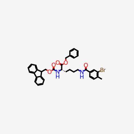 Cc1ccc(C(=O)NCCCC[C@H](NC(=O)OCC2c3ccccc3-c3ccccc32)C(=O)OCc2ccccc2)cc1Br